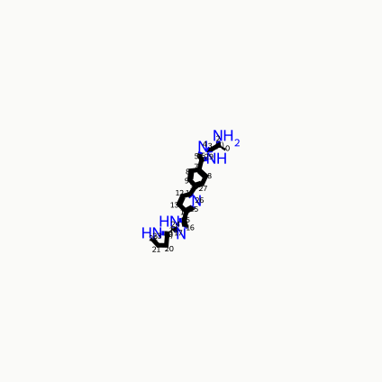 C[C@H](N)C1=NCC(c2ccc(-c3ccc(-c4cnc([C@@H]5CCCN5)[nH]4)cn3)cc2)N1